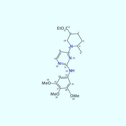 CCOC(=O)C1CCC(C)N(c2ccnc(Nc3cc(OC)c(OC)c(OC)c3)n2)C1